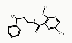 COc1ncc(C)nc1C(=O)NCCC(C)c1ccccc1